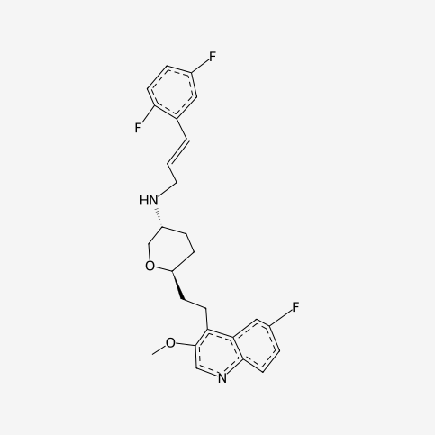 COc1cnc2ccc(F)cc2c1CC[C@@H]1CC[C@@H](NC/C=C/c2cc(F)ccc2F)CO1